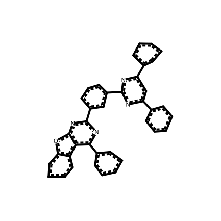 c1ccc(-c2cc(-c3ccccc3)nc(-c3cccc(-c4nc(-c5ccccc5)c5c(n4)oc4ccccc45)c3)n2)cc1